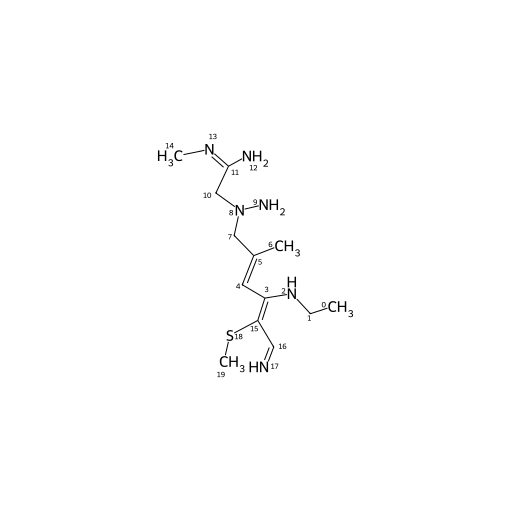 CCNC(/C=C(\C)CN(N)C/C(N)=N\C)=C(\C=N)SC